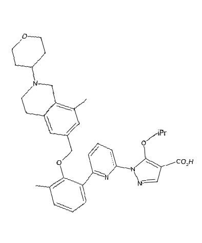 Cc1cc(COc2c(C)cccc2-c2cccc(-n3ncc(C(=O)O)c3OC(C)C)n2)cc2c1CN(C1CCOCC1)CC2